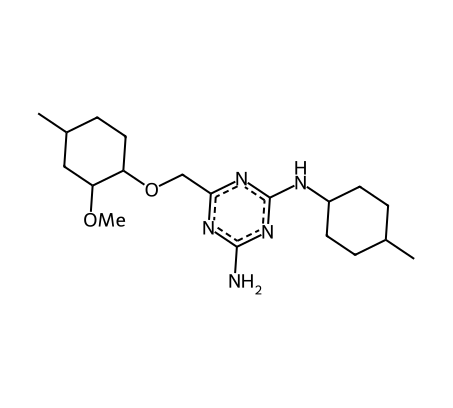 COC1CC(C)CCC1OCc1nc(N)nc(NC2CCC(C)CC2)n1